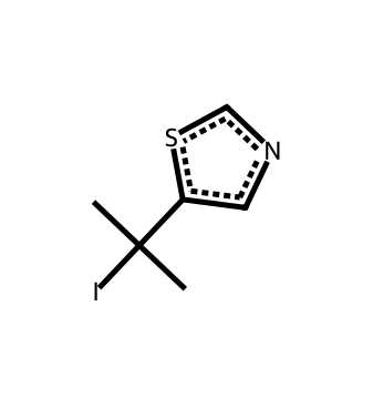 CC(C)(I)c1cncs1